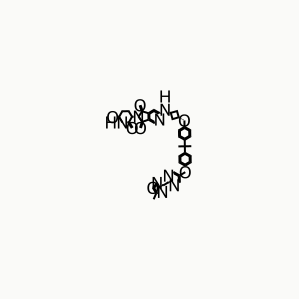 Cc1nc(-c2ncc(Oc3ccc(C(C)(C)c4ccc(O[C@H]5C[C@H](Nc6cc7c(cn6)C(=O)N(C6CCC(=O)NC6=O)C7=O)C5)cc4)cc3)cn2)no1